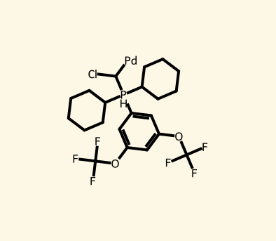 FC(F)(F)Oc1cc(OC(F)(F)F)cc([PH]([CH](Cl)[Pd])(C2CCCCC2)C2CCCCC2)c1